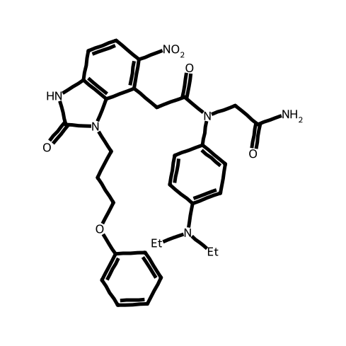 CCN(CC)c1ccc(N(CC(N)=O)C(=O)Cc2c([N+](=O)[O-])ccc3[nH]c(=O)n(CCCOc4ccccc4)c23)cc1